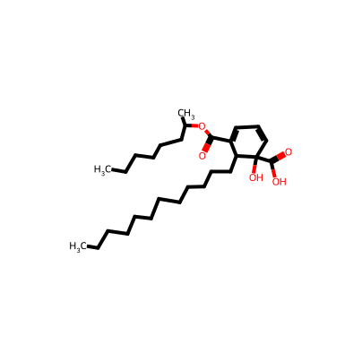 CCCCCCCCCCCCC1C(C(=O)OC(C)CCCCCC)=CC=CC1(O)C(=O)O